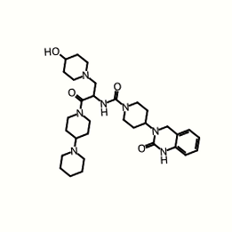 O=C(NC(CN1CCC(O)CC1)C(=O)N1CCC(N2CCCCC2)CC1)N1CCC(N2Cc3ccccc3NC2=O)CC1